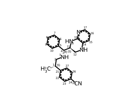 C[C@H](CN[C@H](c1ccccc1)[C@@H]1CNc2cccnc2N1)c1ccc(C#N)cc1